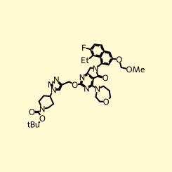 CCc1c(F)ccc2cc(OCOC)cc(N3Cc4nc(OCc5cn(C6CCN(C(=O)OC(C)(C)C)CC6)nn5)nc(N5CCCOCC5)c4C3=O)c12